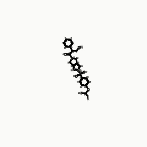 O=C(C(CO)c1ccccc1)N1Cc2cn(S(=O)(=O)c3ccc(OC(F)F)cc3)nc2C1